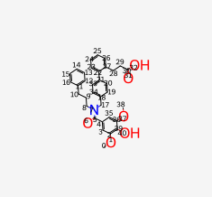 COc1cc(C(=O)N(CCCc2ccccc2)Cc2ccc(-c3ccccc3CCC(=O)O)cc2)cc(OC)c1O